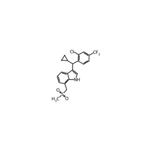 CS(=O)(=O)Cc1cccc2c(C(c3ccc(C(F)(F)F)cc3Cl)C3CC3)c[nH]c12